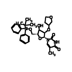 Cc1cn([C@@H]2O[C@H](CO[Si](c3ccccc3)(c3ccccc3)C(C)(C)C)[C@@H](O)[C@H]2O[C@H]2CCOC2)c(=O)[nH]c1=O